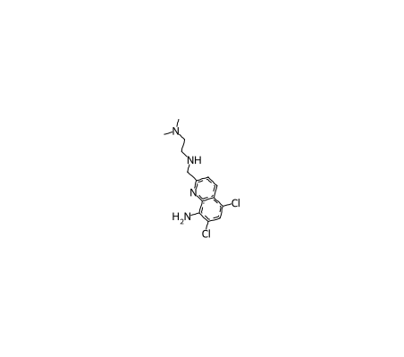 CN(C)CCNCc1ccc2c(Cl)cc(Cl)c(N)c2n1